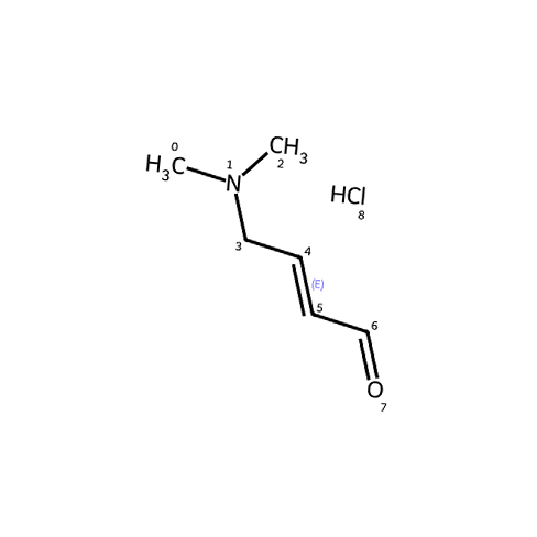 CN(C)C/C=C/C=O.Cl